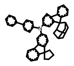 c1ccc(-c2ccc(N(c3ccc4c(c3)-c3ccccc3C43CCCC3)c3ccc4c(c3)C3(c5ccccc5-4)C4CC5CC(C4)CC3C5)cc2)cc1